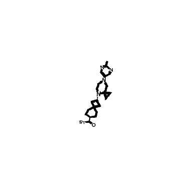 Cc1ncc(N2CCN([C@H]3CC4(CC[C@H](C(=O)C(C)C)CC4)C3)C3(CC3)C2)cn1